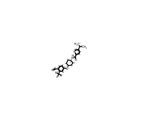 CC(C)c1ccc(C(=O)N[C@H]2CC[C@H](Oc3ccc(C#N)c(C(F)(F)F)c3)CC2)nn1